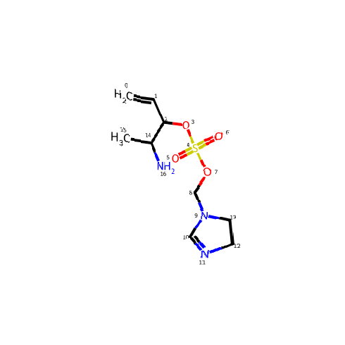 C=CC(OS(=O)(=O)OCN1C=NCC1)C(C)N